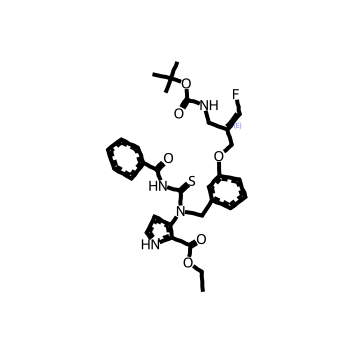 CCOC(=O)c1[nH]ccc1N(Cc1cccc(OC/C(=C/F)CNC(=O)OC(C)(C)C)c1)C(=S)NC(=O)c1ccccc1